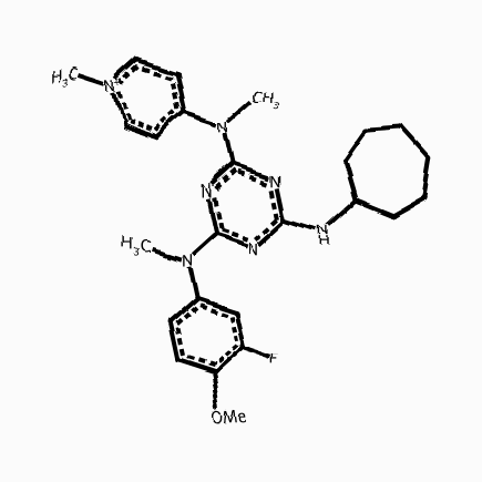 COc1ccc(N(C)c2nc(NC3CCCCCC3)nc(N(C)c3cc[n+](C)cc3)n2)cc1F